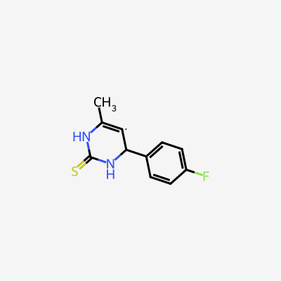 CC1=[C]C(c2ccc(F)cc2)NC(=S)N1